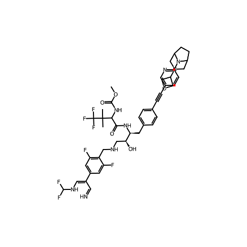 COC(=O)NC(C(=O)N[C@@H](Cc1ccc(C#Cc2ccc(N3C4CCC3CN(C3COC3)C4)nc2)cc1)[C@@H](O)CNCc1c(F)cc(/C(C=N)=C/NC(F)F)cc1F)C(C)(C)C(F)(F)F